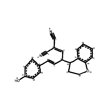 N#CC(C#N)=CC(C=Cc1ccc(O)cc1)C1CCOc2ccccc21